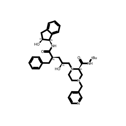 CC(C)(C)NC(=O)[C@H]1CN(Cc2cccnc2)CCN1C[C@@H](O)C[C@@H](Cc1ccccc1)C(=O)N[C@@H]1c2ccccc2C[C@@H]1O